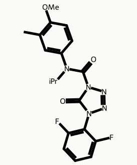 COc1ccc(N(C(=O)n2nnn(-c3c(F)cccc3F)c2=O)C(C)C)cc1C